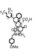 C=C/C=C\C(=C/C)C(CN1C[C@H]2N(C(=O)CN(C)N2C(=O)NCc2ccc(OC)cc2)[C@@H](CC(=O)O)C1=O)c1ccccc1